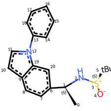 C[C@H](N[S@+]([O-])C(C)(C)C)c1ccc2ccn(-c3ccccc3)c2c1